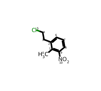 Cc1c(CCCl)cccc1[N+](=O)[O-]